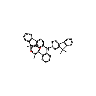 Cc1cccc(C)c1-c1ccccc1N(c1ccc2c(c1)C(C)(C)c1ccccc1-2)c1ccc2c(c1)C(C)(C)c1ccccc1-2